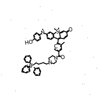 Cc1cc(C(=O)N2CCN(CCCC[PH](c3ccccc3)(c3ccccc3)c3ccccc3)CC2)ccc1C1=C2C=CC(=O)C=C2[Si](C)(C)c2cc(N(C)c3ccc(O)cc3)ccc21